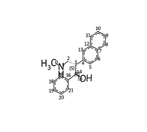 CNC[C@H](c1ccc2ccccc2c1)[C@@H](O)c1ccccc1